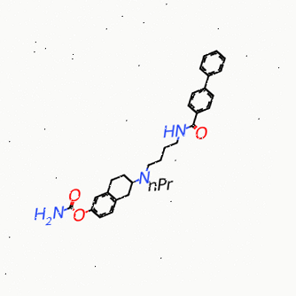 CCCN(CCCCNC(=O)c1ccc(-c2ccccc2)cc1)[C@@H]1CCc2cc(OC(N)=O)ccc2C1